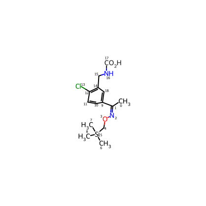 C/C(=N/OC[Si](C)(C)C)c1ccc(Cl)c(CNC(=O)O)c1